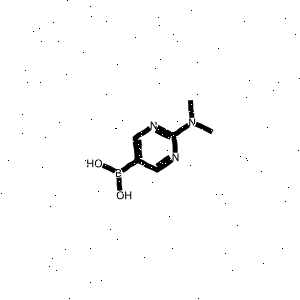 CN(C)c1ncc(B(O)O)cn1